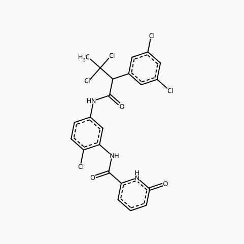 CC(Cl)(Cl)C(C(=O)Nc1ccc(Cl)c(NC(=O)c2cccc(=O)[nH]2)c1)c1cc(Cl)cc(Cl)c1